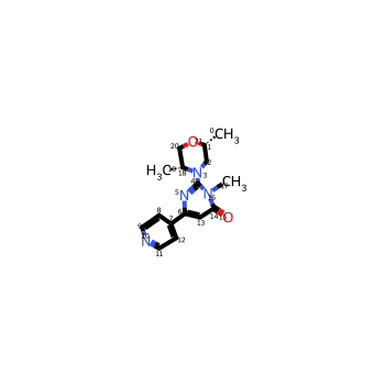 C[C@@H]1CN(c2nc(-c3ccncc3)cc(=O)n2C)[C@H](C)CO1